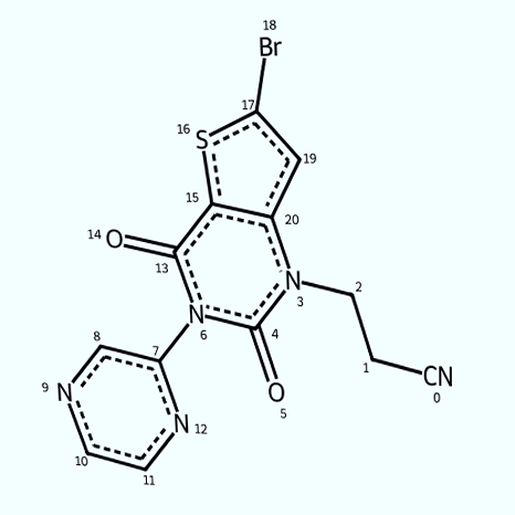 N#CCCn1c(=O)n(-c2cnccn2)c(=O)c2sc(Br)cc21